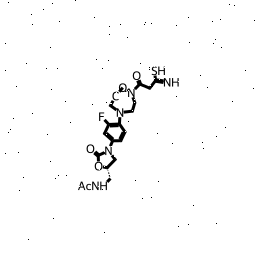 CC(=O)NC[C@H]1CN(c2ccc(N3CCON(C(=O)CC(=N)S)CC3)c(F)c2)C(=O)O1